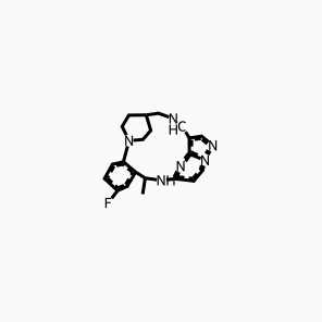 CC1Nc2ccn3ncc(c3n2)CNCC2CCN(CC2)c2ccc(F)cc21